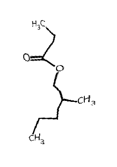 CCCC(C)COC(=O)CC